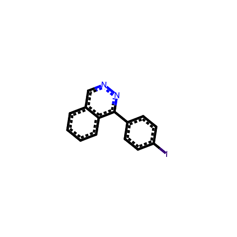 Ic1ccc(-c2nncc3ccccc23)cc1